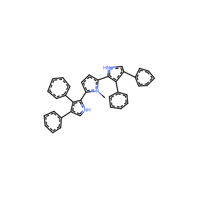 Cn1c(-c2[nH]cc(-c3ccccc3)c2-c2ccccc2)ccc1-c1[nH]cc(-c2ccccc2)c1-c1ccccc1